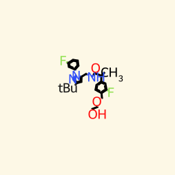 CC(C(=O)NCc1cc(C(C)(C)C)nn1-c1cccc(F)c1)c1ccc(COCCO)c(F)c1